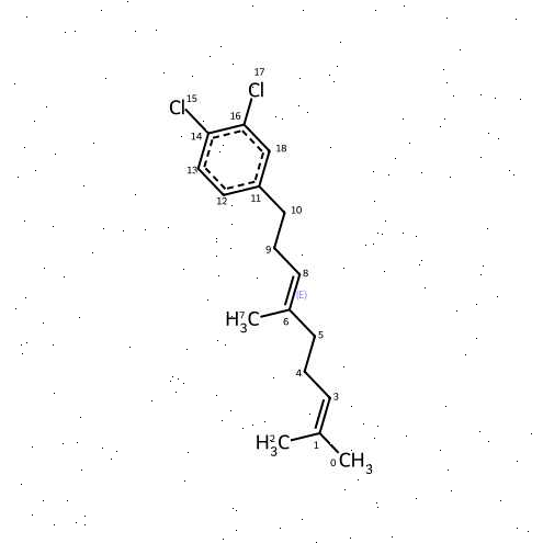 CC(C)=CCC/C(C)=C/CCc1ccc(Cl)c(Cl)c1